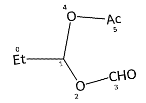 CCC(OC=O)OC(C)=O